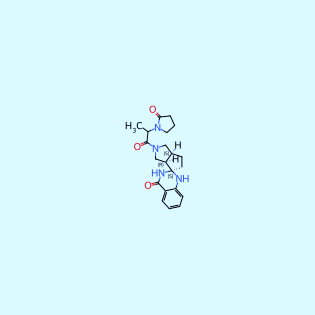 CC(C(=O)N1C[C@H]2CC[C@]3(NC(=O)c4ccccc4N3)[C@H]2C1)N1CCCC1=O